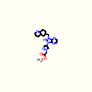 COC(=O)Cn1cc(N2NN(Cc3ccc4ncccc4c3)c3nccnc32)cn1